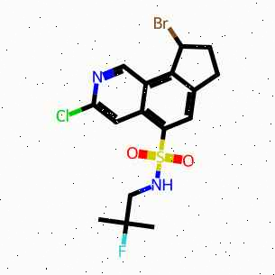 CC(C)(F)CNS(=O)(=O)c1cc2c(c3cnc(Cl)cc13)C(Br)CC2